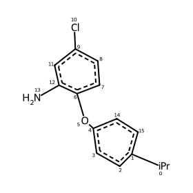 CC(C)c1ccc(Oc2ccc(Cl)cc2N)cc1